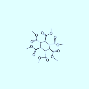 COC(=O)[C@H]1[C@H](C(=O)OC)[C@@H](C(=O)OC)[C@H](C(=O)OC)[C@@H](C(=O)OC)[C@@H]1C(=O)OC